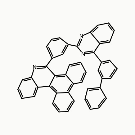 c1ccc(-c2cccc(-c3nc(-c4cccc(-c5nc6ccccc6c6c7ccccc7c7ccccc7c56)c4)nc4ccccc34)c2)cc1